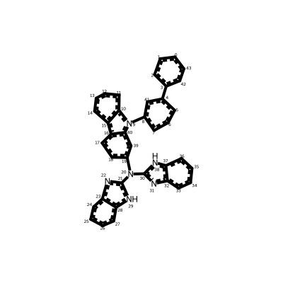 c1ccc(-c2cccc(-n3c4ccccc4c4ccc(N(c5nc6ccccc6[nH]5)c5nc6ccccc6[nH]5)cc43)c2)cc1